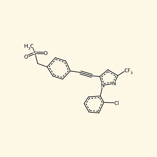 CS(=O)(=O)Cc1ccc(C#Cc2cc(C(F)(F)F)nn2-c2ccccc2Cl)cc1